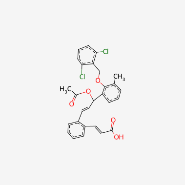 CC(=O)OC(/C=C/c1ccccc1/C=C/C(=O)O)c1cccc(C)c1OCc1c(Cl)cccc1Cl